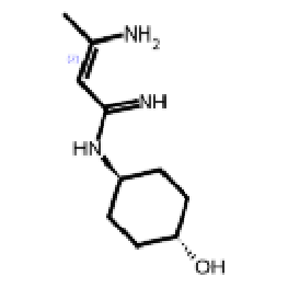 C/C(N)=C/C(=N)N[C@H]1CC[C@H](O)CC1